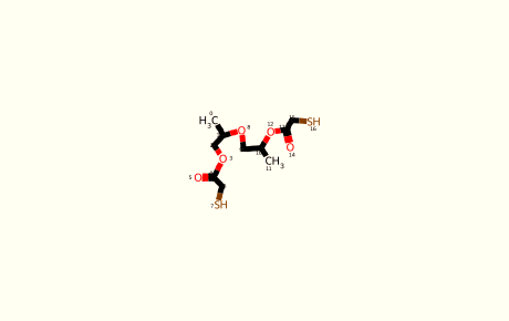 CC(COC(=O)CS)OCC(C)OC(=O)CS